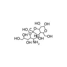 N[C@H]1C([C@H](O)[C@H](O)CO)O[C@@](OC2[C@H](O)C(CO)O[C@@H](O)[C@H]2O)(C(=O)O)C[C@H]1O